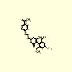 CCc1cc(C)cc(CC)c1C1=C(O)CC(CCSc2ccc(C(C)=O)cn2)CC1=O